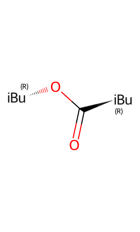 C[CH][C@@H](C)OC(=O)[C@H](C)CC